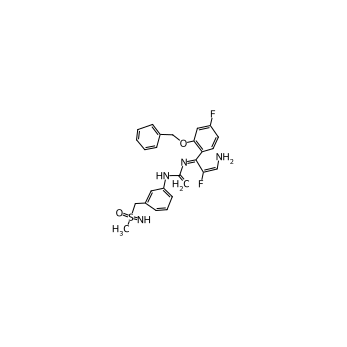 C=C(/N=C(\C(F)=C/N)c1ccc(F)cc1OCc1ccccc1)Nc1cccc(CS(C)(=N)=O)c1